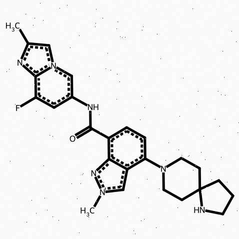 Cc1cn2cc(NC(=O)c3ccc(N4CCC5(CCCN5)CC4)c4cn(C)nc34)cc(F)c2n1